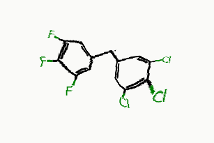 Fc1cc([CH]c2cc(Cl)c(Cl)c(Cl)c2)cc(F)c1F